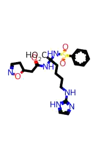 O=C(CC1CC=NO1)NC(CCCCNc1ncc[nH]1)(NS(=O)(=O)c1ccccc1)C(=O)O